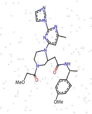 COCC(=O)N1CCN(c2cc(C)nc(-n3ccnc3)n2)C(CC(=O)NC(C)c2ccc(OC)cc2)C1